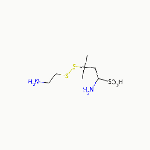 CC(C)(CC(N)S(=O)(=O)O)SSCCN